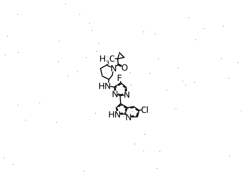 CC1(C(=O)N2CCCC(Nc3nc(-c4c[nH]c5ncc(Cl)cc45)ncc3F)C2)CC1